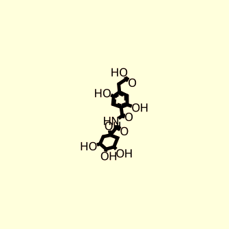 O=C(O)Cc1cc(O)c(C(=O)NC(=O)C2(O)CC(O)C(O)C(O)C2)cc1O